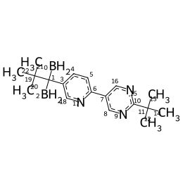 BC(B)(c1ccc(-c2cnc(C(C)(C)C)nc2)nc1)C(C)(C)C